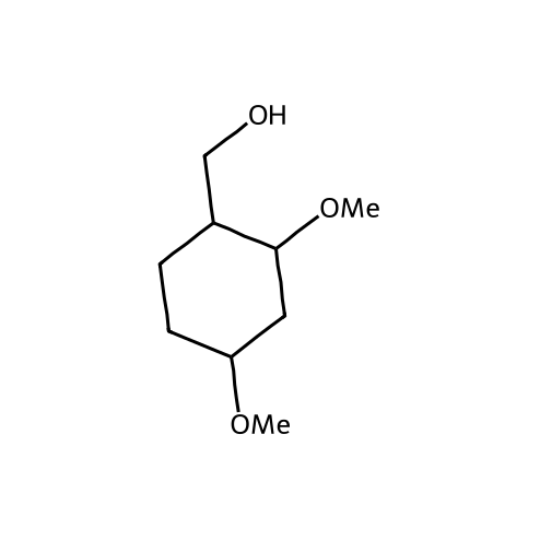 COC1CCC(CO)C(OC)C1